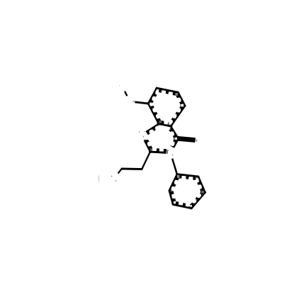 COc1cccc2c(=O)n(-c3ccccc3)c(CCN)nc12